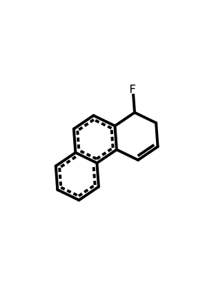 FC1CC=Cc2c1ccc1ccccc21